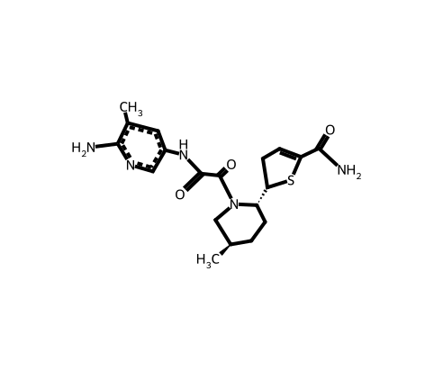 Cc1cc(NC(=O)C(=O)N2C[C@H](C)CC[C@H]2C2CC=C(C(N)=O)S2)cnc1N